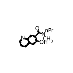 CCCN(C)C(=O)c1cc2ncccc2cc1O